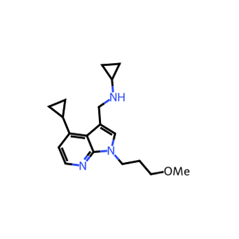 COCCCn1cc(CNC2CC2)c2c(C3CC3)ccnc21